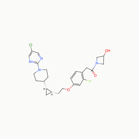 O=C(Cc1ccc(OCC[C@@H]2C[C@@H]2C2CCN(c3ncc(Cl)cn3)CC2)cc1F)N1CC(O)C1